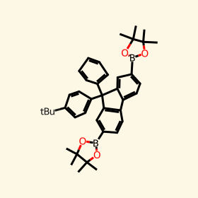 CC(C)(C)c1ccc(C2(c3ccccc3)c3cc(B4OC(C)(C)C(C)(C)O4)ccc3-c3ccc(B4OC(C)(C)C(C)(C)O4)cc32)cc1